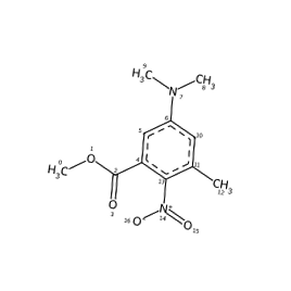 COC(=O)c1cc(N(C)C)cc(C)c1[N+](=O)[O-]